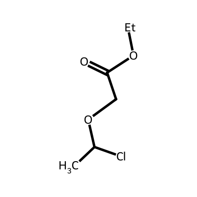 CCOC(=O)COC(C)Cl